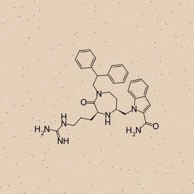 N=C(N)NCCC[C@@H]1N[C@H](Cn2c(C(N)=O)cc3ccccc32)CCN(CC(c2ccccc2)c2ccccc2)C1=O